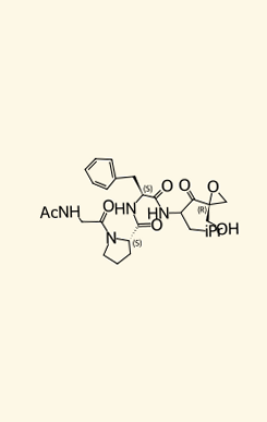 CC(=O)NCC(=O)N1CCC[C@H]1C(=O)N[C@@H](Cc1ccccc1)C(=O)NC(CC(C)C)C(=O)[C@@]1(CO)CO1